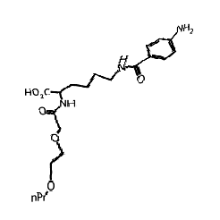 CCCOCCOCC(=O)NC(CCCCNC(=O)c1ccc(N)cc1)C(=O)O